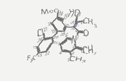 C=C1C(C)=CC=CN1C(=O)/C(=C(\C)O)c1cc(OC)cc(-c2ccc(C(F)(F)F)cc2Cl)c1